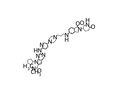 CN(C)C(=O)c1cc2cnc(Nc3ccc(N4CCN(CCCNc5ccc6c(c5)CN(C5CCC(=O)NC5=O)C6=O)CC4)cn3)nc2n1C1CCCC1